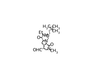 CCNC(=O)c1cc2c(C=O)cn(C)c(=O)c2n1COCC[Si](C)(C)C